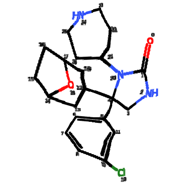 O=C1NCC(c2cccc(Cl)c2)(C2CC3CCC(C2)O3)N1C1CCNCC1